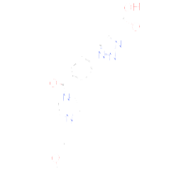 COCCCN1CCN(C(=O)c2ccc(-n3cc(CC(=O)O)nn3)cc2)CC1